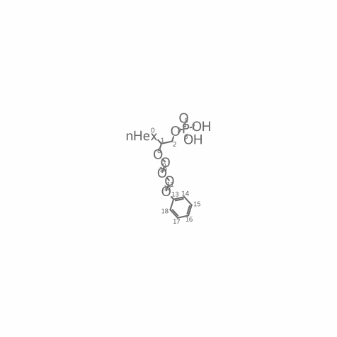 CCCCCCC(COP(=O)(O)O)OOOOOc1ccccc1